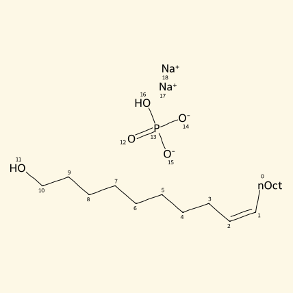 CCCCCCCC/C=C\CCCCCCCCO.O=P([O-])([O-])O.[Na+].[Na+]